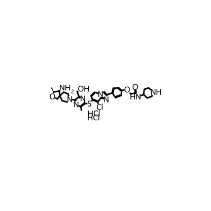 Cc1nc(N2CCC3(CC2)CO[C@@H](C)[C@H]3N)c(CO)nc1Sc1ccn2cc(-c3ccc(OCC(=O)NC4CCNCC4)cc3)nc2c1Cl.Cl.Cl